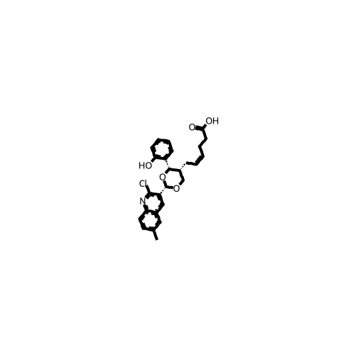 Cc1ccc2nc(Cl)c([C@H]3OC[C@@H](C/C=C\CCC(=O)O)[C@@H](c4ccccc4O)O3)cc2c1